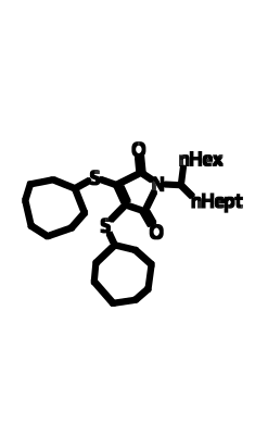 CCCCCCCC(CCCCCC)N1C(=O)C(SC2CCCCCCC2)=C(SC2CCCCCCC2)C1=O